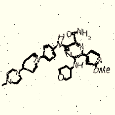 COc1cc(-c2nc(C(N)=O)c(Nc3ccc(N4CCC(N5CCN(C)CC5)CC4)cc3)nc2NC2CCOCC2)ccn1